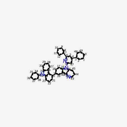 c1ccc(-c2cc(-c3ccccc3)nc(-n3c4ccc(-c5cccc6c5c5ccccc5n6-c5ccccc5)cc4c4ncccc43)c2)cc1